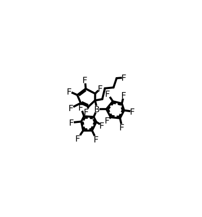 FCCCCC1(B(c2c(F)c(F)c(F)c(F)c2F)c2c(F)c(F)c(F)c(F)c2F)C(F)=C(F)C(F)=C(F)C1F